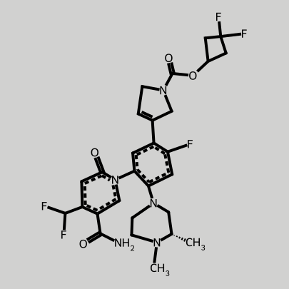 C[C@H]1CN(c2cc(F)c(C3=CCN(C(=O)OC4CC(F)(F)C4)C3)cc2-n2cc(C(N)=O)c(C(F)F)cc2=O)CCN1C